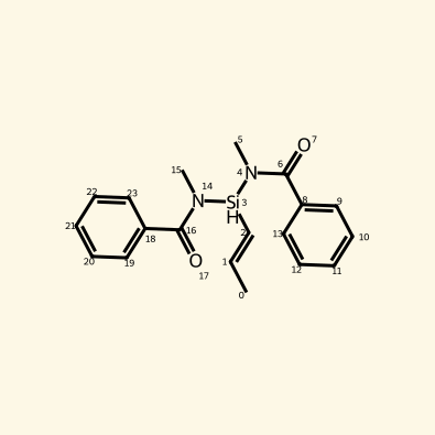 CC=C[SiH](N(C)C(=O)c1ccccc1)N(C)C(=O)c1ccccc1